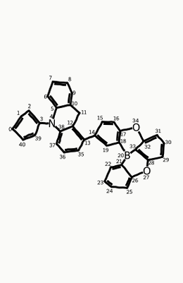 c1ccc(N2c3ccccc3Cc3c(-c4ccc5c(c4)B4c6ccccc6Oc6cccc(c64)O5)cccc32)cc1